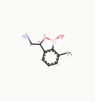 Cc1cccc2c1B(O)OC2CN